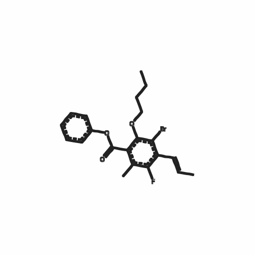 CC=Cc1c(F)c(C)c(C(=O)Oc2ccccc2)c(OCCCC)c1Br